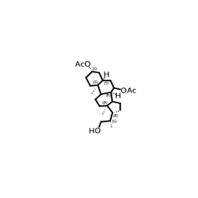 CC(=O)OC1C[C@@H]2C[C@@H](OC(C)=O)CC[C@]2(C)C2CC[C@@]3(C)C(CC[C@@H]3[C@H](C)CO)[C@H]12